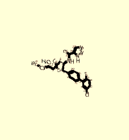 CC(C)OCCC(C)(C[C@@H](Cc1ccc(-c2cc(Cl)ccc2F)cc1)NC(=O)c1cnn[nH]1)C(=O)O